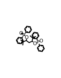 CC(C)C(CC(OP(=O)(c1ccccc1)c1ccccc1)C(C)C)OP(=O)(c1ccccc1)c1ccccc1